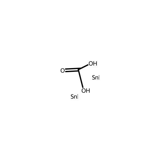 O=C(O)O.[Sn].[Sn]